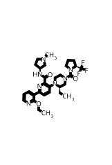 CCOc1ncccc1-c1ccc(N2CCN(C(=O)N3CCC[C@H]3C(F)(F)F)C[C@H]2CC)c(C(=O)N[C@H]2CCN(C)C2)n1